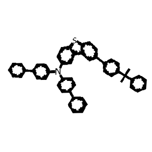 CC(C)(c1ccccc1)c1ccc(-c2ccc3sc4ccc(N(c5ccc(-c6ccccc6)cc5)c5ccc(-c6ccccc6)cc5)cc4c3c2)cc1